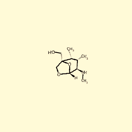 CN[C@H]1[C@@H]2OC[C@](CO)(O2)[C@H](C)[C@@H]1C